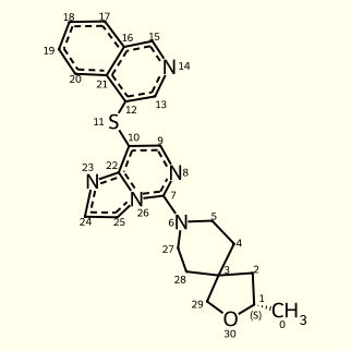 C[C@H]1CC2(CCN(c3ncc(Sc4cncc5ccccc45)c4nccn34)CC2)CO1